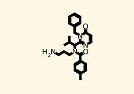 Cc1ccc(C(=O)N(CCCN)C(c2nccc(=O)n2Cc2ccccc2)C(C)C)cc1